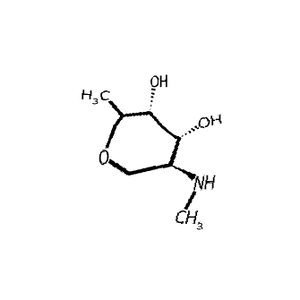 CN[C@H]1COC(C)[C@H](O)[C@@H]1O